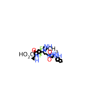 CC1CN(C(CCCn2c(=O)cc(Nc3ccc4c(c3)CCC4)[nH]c2=O)c2c(F)cc3c(=O)c(C(=O)O)c(C4CC4)[nH]c3c2F)CCN1